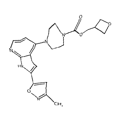 Cc1cc(-c2cc3c(N4CCN(C(=O)OC5COC5)CC4)ccnc3[nH]2)on1